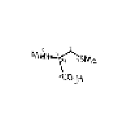 CN[C@@H](CSC)C(=O)O